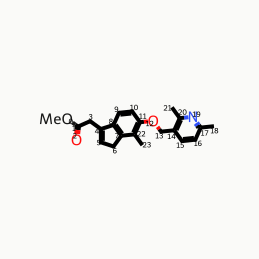 COC(=O)CC1=CCc2c1ccc(OCc1ccc(C)nc1C)c2C